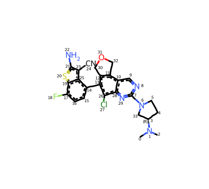 CN(C)[C@@H]1CCN(c2ncc3c4c(c(-c5ccc(F)c6sc(N)c(C#N)c56)c(Cl)c3n2)COC4)C1